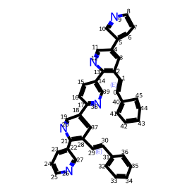 C(=C\c1cc(-c2cccnc2)cnc1-c1ccc(-c2cnc(-c3cccnc3)c(/C=C/c3ccccc3)c2)nc1)/c1ccccc1